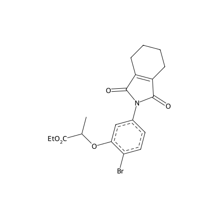 CCOC(=O)C(C)Oc1cc(N2C(=O)C3=C(CCCC3)C2=O)ccc1Br